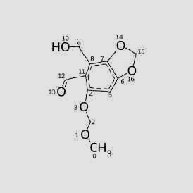 COCOc1cc2c(c(CO)c1C=O)OCO2